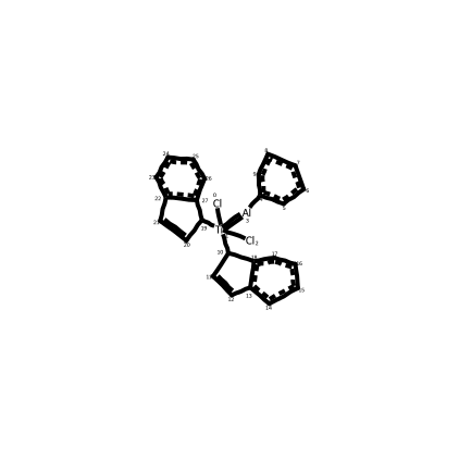 [Cl][Ti]([Cl])(=[Al][c]1ccccc1)([CH]1C=Cc2ccccc21)[CH]1C=Cc2ccccc21